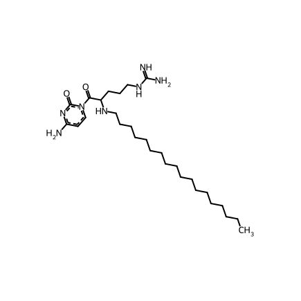 CCCCCCCCCCCCCCCCCCNC(CCCNC(=N)N)C(=O)n1ccc(N)nc1=O